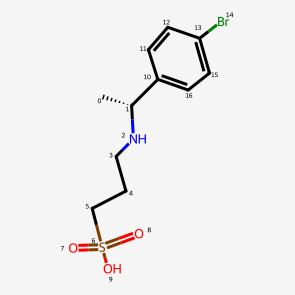 C[C@@H](NCCCS(=O)(=O)O)c1ccc(Br)cc1